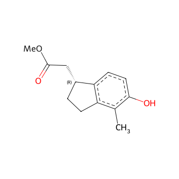 COC(=O)C[C@H]1CCc2c1ccc(O)c2C